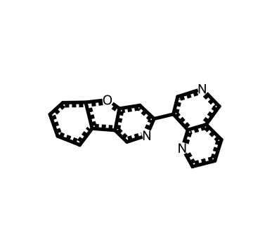 c1cnc2c(-c3cc4oc5ccccc5c4cn3)cncc2c1